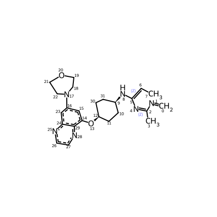 C=N/C(C)=N\C(=C/C)N[C@H]1CC[C@@H](Oc2cc(N3CCOCC3)cc3nccnc23)CC1